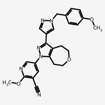 COc1ccc(Cn2cc(-c3nn(-c4cnc(OC)c(C#N)c4)c4c3CCOCC4)cn2)cc1